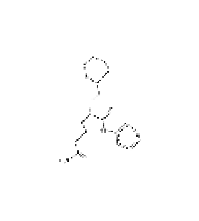 NC(=O)CCCN(CCC1CCCCC1)C(=O)Nc1ccccc1